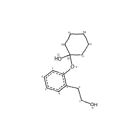 OCCc1ccccc1OC1(O)CCCCC1